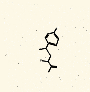 C=C(C)C(F)CC(C)c1ccc(C)cc1